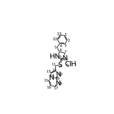 Cl.c1ccc(CC2CN=C(SCc3cn4cccnc4n3)N2)cc1